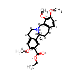 CCOC(=O)c1cc2c(cc1OC)CCN1Cc3c(ccc(OC)c3OC)CC[C@@H]21